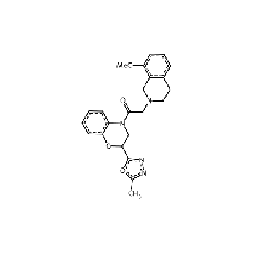 COc1cccc2c1CN(CC(=O)N1CC(c3nnc(C)o3)Oc3ccccc31)CC2